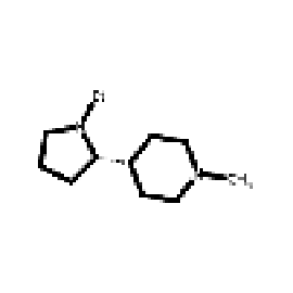 CCN1CCC[C@H]1C1CCN(C)CC1